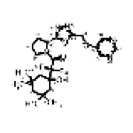 CC1(C)CC(C)(C)CC(O)(C(F)(F)C(=O)N2CCC[C@H]2c2nnc(COc3cncnc3)o2)C1